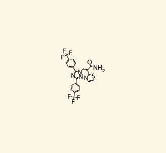 NC(=O)/C(=C/n1nc(-c2ccc(C(F)(F)F)cc2)nc1-c1ccc(C(F)(F)F)cc1)c1nccs1